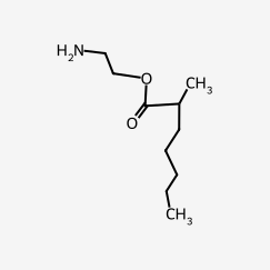 CCCCCC(C)C(=O)OCCN